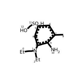 CCN(CC)c1cccc(C)c1N.O=S(=O)(O)O